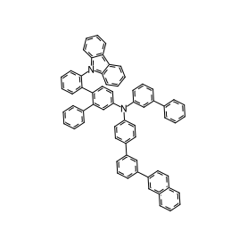 c1ccc(-c2cccc(N(c3ccc(-c4cccc(-c5ccc6ccccc6c5)c4)cc3)c3ccc(-c4ccccc4-n4c5ccccc5c5ccccc54)c(-c4ccccc4)c3)c2)cc1